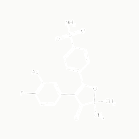 CC(=O)c1cc(C2=C(c3ccc(S(N)(=O)=O)cc3)OC(C)(C)C2=O)ccc1F